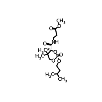 COC(=O)CCNC(=O)[C@@H]1O[P@@](=O)(OCCC(C)C)OCC1(C)C